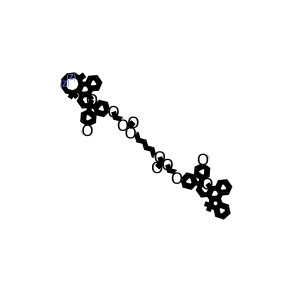 C=C1/C=C\C=C/CC(C)(C)c2c3c(c4ccccc4c21)OC(c1ccc(OC)cc1)(c1ccc(OCCOC(=O)OCCCCCCOC(=O)OCCOc2ccc(C4(c5ccc(OC)cc5)C=Cc5c6c(c7ccccc7c5O4)-c4ccccc4C6(C)C)cc2)cc1)C=C3